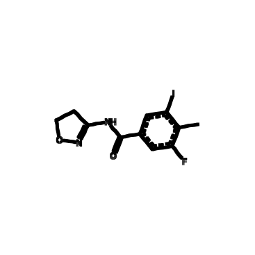 Cc1c(F)cc(C(=O)NC2=NOCC2)cc1I